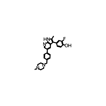 Cc1[nH]c2ncc(-c3ccc(CN4CCN(C)CC4)cc3)cc2c1-c1ccc(O)c(F)c1